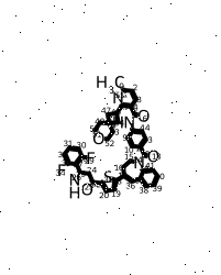 Cc1ccc(C(=O)Nc2ccc(C(=O)N3CCC(c4ccc(C(=O)CC(=N)c5c(F)cccc5F)s4)=Cc4ccccc43)cc2)c(C2CC3(CCOCC3)C2)n1